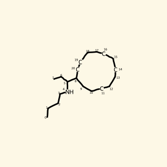 CCCCNC(CC)C1CCCCCCCCCCCC1